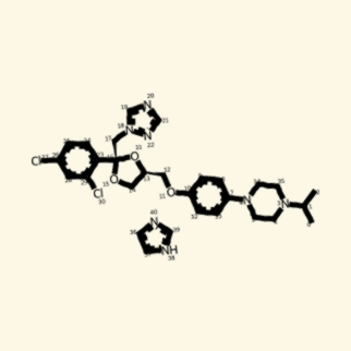 CC(C)N1CCN(c2ccc(OC[C@H]3CO[C@](Cn4cncn4)(c4ccc(Cl)cc4Cl)O3)cc2)CC1.c1c[nH]cn1